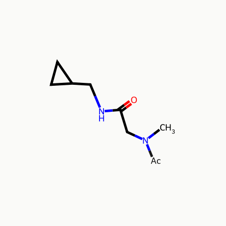 CC(=O)N(C)CC(=O)NCC1CC1